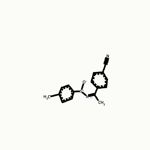 C/C(=N/[S+]([O-])c1ccc(C)cc1)c1ccc(C#N)cc1